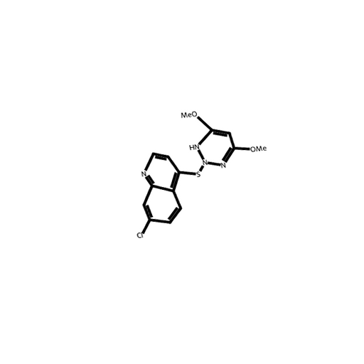 COC1=CC(OC)=NN(Sc2ccnc3cc(Cl)ccc23)N1